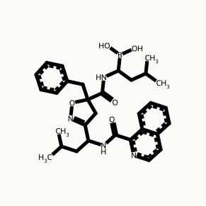 CC(C)CC(NC(=O)C1(Cc2ccccc2)CC(C(CC(C)C)NC(=O)c2nccc3ccccc23)=NO1)B(O)O